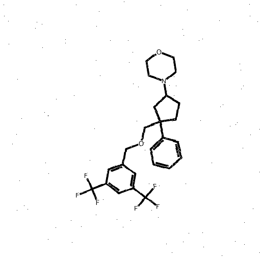 FC(F)(F)c1cc(COCC2(c3ccccc3)CCC(N3CCOCC3)C2)cc(C(F)(F)F)c1